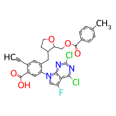 C#Cc1cc(CC2CCOC2COC(=O)c2ccc(C)cc2)c(-n2cc(F)c3c(Cl)nc(Cl)nc32)cc1C(=O)O